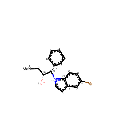 CNC[C@@H](O)[C@H](c1ccccc1)n1ccc2cc(Br)ccc21